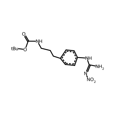 CC(C)(C)OC(=O)NCCCc1ccc(NC(N)=N[N+](=O)[O-])cc1